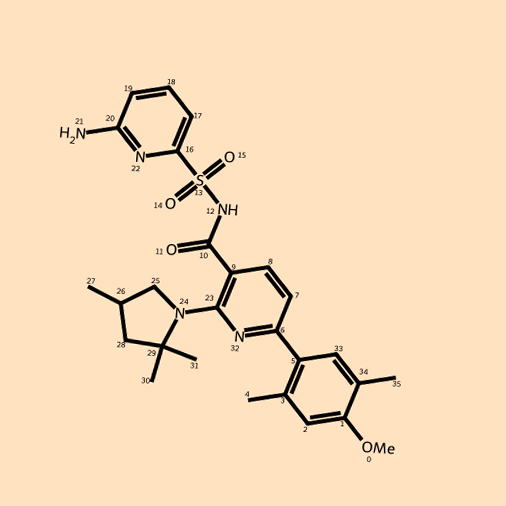 COc1cc(C)c(-c2ccc(C(=O)NS(=O)(=O)c3cccc(N)n3)c(N3CC(C)CC3(C)C)n2)cc1C